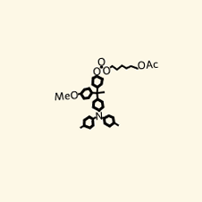 COc1ccc(C(C)(c2ccc(OC(=O)OCCCCCCOC(C)=O)cc2)c2ccc(N(c3ccc(C)cc3)c3ccc(C)cc3)cc2)cc1